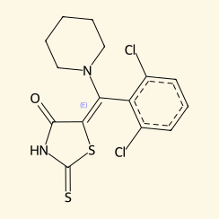 O=C1NC(=S)S/C1=C(\c1c(Cl)cccc1Cl)N1CCCCC1